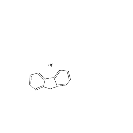 [Hf].c1ccc2c(c1)Cc1ccccc1-2